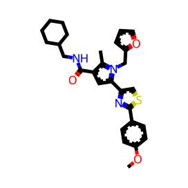 COc1ccc(-c2nc(-c3cc(C(=O)NCC4CCCCC4)c(C)n3Cc3ccco3)cs2)cc1